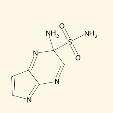 NC1(S(N)(=O)=O)C=NC2=NC=CC2=N1